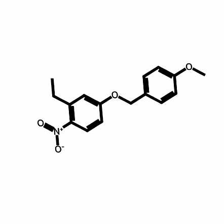 CCc1cc(OCc2ccc(OC)cc2)ccc1[N+](=O)[O-]